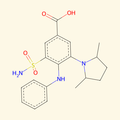 CC1CCC(C)N1c1cc(C(=O)O)cc(S(N)(=O)=O)c1Nc1ccccc1